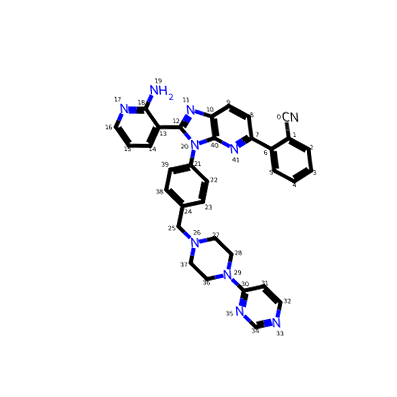 N#Cc1ccccc1-c1ccc2nc(-c3cccnc3N)n(-c3ccc(CN4CCN(c5ccncn5)CC4)cc3)c2n1